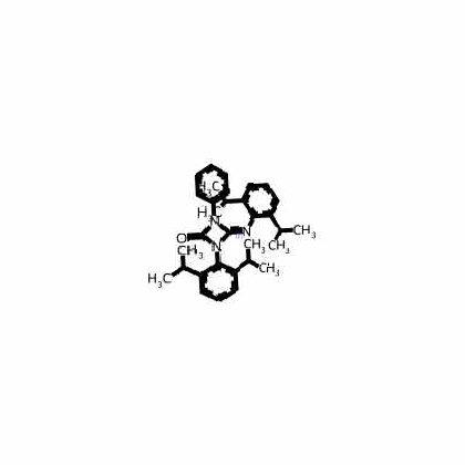 CC(C)c1cccc(C(C)C)c1/N=C1\N(c2ccccc2)C(=O)N1c1c(C(C)C)cccc1C(C)C